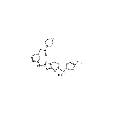 Cc1ccc(N(C)c2ccc3nc(Nc4cc(CC(=O)N5CCOCC5)ccn4)sc3n2)cc1